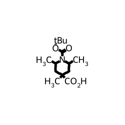 CC1CC(C)(C(=O)O)CC(C)N1C(=O)OC(C)(C)C